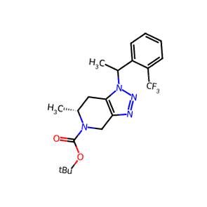 CC(c1ccccc1C(F)(F)F)n1nnc2c1C[C@@H](C)N(C(=O)OC(C)(C)C)C2